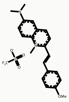 COc1ccc(C=Cc2ccc3cc(N(C)C)ccc3[n+]2C)cc1.O=S(=O)([O-])C(F)(F)F